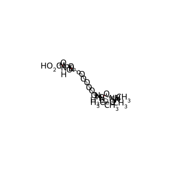 Cc1nn(C)cc1[S+]([O-])NCCCC(=O)c1ccc(-n2ccc(OCCOCCOCCOCCOCCOc3ccc(C4CCN(S(=O)(=O)c5ccc6c(c5)NCN(CC(=O)O)C6=O)CC4)cc3)n2)nc1C1CCC[C@@H](C)CC1(C)C